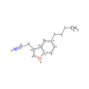 CCCCc1ccc2occ(CC#N)c2c1